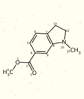 COC(=O)c1ccc2c(c1)N(C)CC2